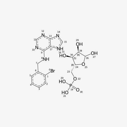 Brc1ccccc1CNc1ncnc2nc[nH]c12.O=P(O)(O)OC[C@H]1OC(O)[C@H](O)[C@@H]1O